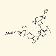 COCCN1CCN(c2ccc(Nc3ncc(C(F)(F)F)c(-c4cc5c(s4)C(=O)N(C4COC4)CCS5(=O)=O)n3)c(C3CC3)c2)C[C@H]1C